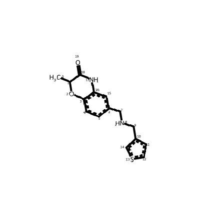 CC1Oc2ccc(CNCc3ccsc3)cc2NC1=O